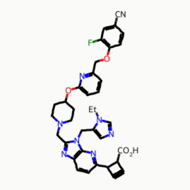 CCn1cncc1Cn1c(CN2CCC(Oc3cccc(COc4ccc(C#N)cc4F)n3)CC2)nc2ccc(C3C#CC3C(=O)O)nc21